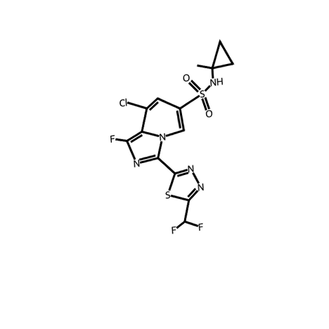 CC1(NS(=O)(=O)c2cc(Cl)c3c(F)nc(-c4nnc(C(F)F)s4)n3c2)CC1